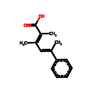 CC(=CC(C)=C(C)C(=O)O)c1ccccc1